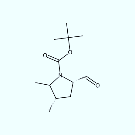 CC1[C@@H](C)C[C@@H](C=O)N1C(=O)OC(C)(C)C